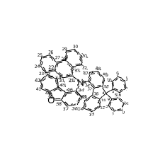 c1ccc(C2(c3ccccc3)c3ccccc3-c3c(N(c4cc5ccccc5c5ccccc45)c4cccc5oc6ccccc6c45)cccc32)cc1